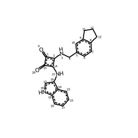 O=c1c(NCc2ccc3c(c2)CCC3)c(Nc2c[nH]c3ccccc23)c1=O